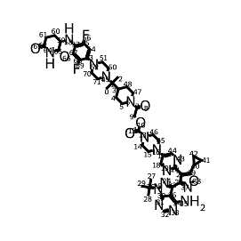 CC(C)(C1CCN(C(=O)COC(=O)N2CCN(c3cnc(-c4c(-c5nn(C(C)(C)C)c6ncnc(N)c56)noc4C4CC4)nc3)CC2)CC1)N1CCN(c2cc(F)c(N[C@@H]3CCC(=O)NC3=O)cc2F)CC1